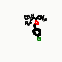 CC(OCc1ccc(Cl)cc1)C(C)C(=O)O